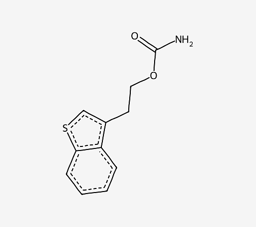 NC(=O)OCCc1csc2ccccc12